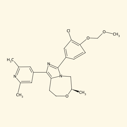 COCOc1ccc(-c2nc(-c3cc(C)nc(C)c3)c3n2C[C@@H](C)OCC3)cc1Cl